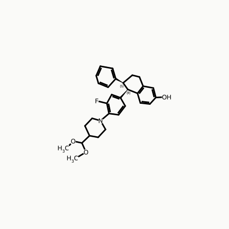 COC(OC)C1CCN(c2ccc([C@@H]3c4ccc(O)cc4CC[C@@H]3c3ccccc3)cc2F)CC1